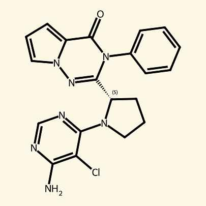 Nc1ncnc(N2CCC[C@H]2c2nn3cccc3c(=O)n2-c2ccccc2)c1Cl